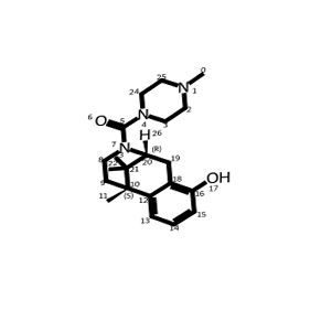 CN1CCN(C(=O)N2CC[C@@]3(C)c4cccc(O)c4C[C@@H]2C3(C)C)CC1